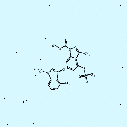 Cc1nn(C(=O)O)c2cccc(N)c12.Cc1nn(C(=O)OC(C)(C)C)c2cccc(OS(=O)(=O)C(F)(F)F)c12